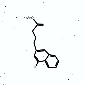 C=C(CCCc1cc(F)c2ccccc2c1)OC